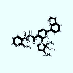 CC1CCN(c2nc(-c3cccc4c3OCC4)ccc2C(=O)NS(=O)(=O)c2cccnc2N)C1(C)C